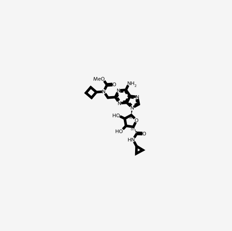 COC(=O)N(Cc1nc(N)c2ncn([C@@H]3O[C@H](C(=O)NC4CC4)C(O)C3O)c2n1)C1CCC1